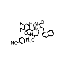 CC1CCN(C(Cc2cccc3ccccc23)C(N)=O)C(=O)C(c2ccc(F)c(F)c2)N1C(=O)Cc1ccc(C#N)cc1